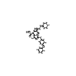 Cc1nn(Cc2ccc(Oc3ccccc3)cc2)c2nc(NCCN3CCCCC3)cc(C(=O)O)c12